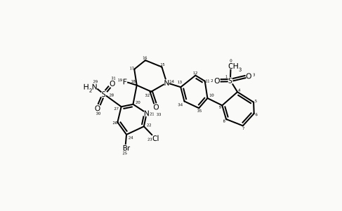 CS(=O)(=O)c1ccccc1-c1ccc(N2CCCC(F)(c3nc(Cl)c(Br)cc3S(N)(=O)=O)C2=O)cc1